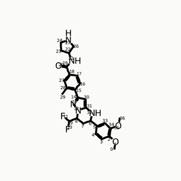 COc1ccc(C2CC(C(F)F)n3nc(-c4ccc(C(=O)NC5CCNC5)cc4C)cc3N2)cc1OC